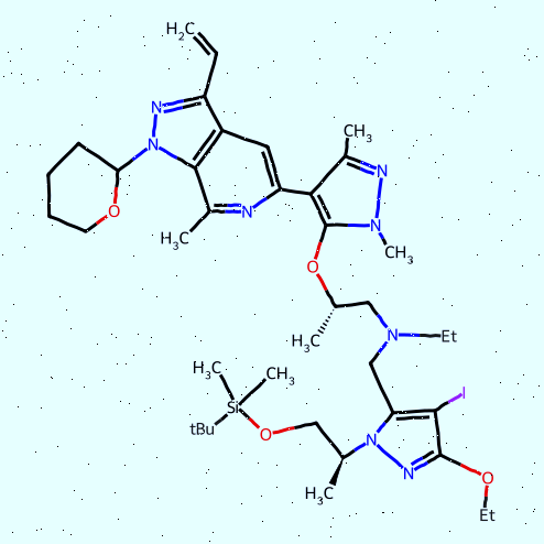 C=Cc1nn(C2CCCCO2)c2c(C)nc(-c3c(C)nn(C)c3O[C@@H](C)CN(CC)Cc3c(I)c(OCC)nn3[C@@H](C)CO[Si](C)(C)C(C)(C)C)cc12